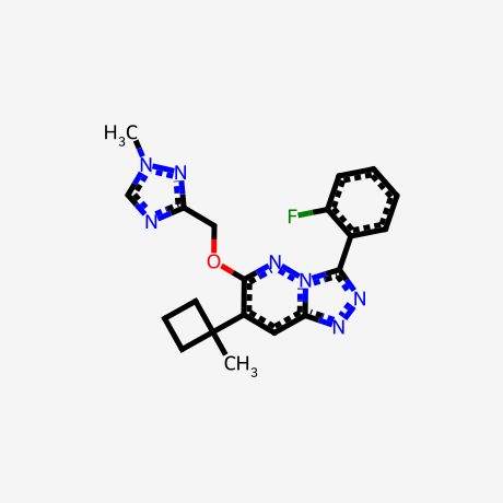 Cn1cnc(COc2nn3c(-c4ccccc4F)nnc3cc2C2(C)CCC2)n1